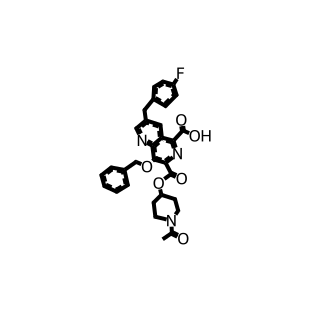 CC(=O)N1CCC(OC(=O)c2nc(C(=O)O)c3cc(Cc4ccc(F)cc4)cnc3c2OCc2ccccc2)CC1